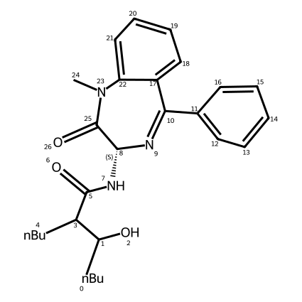 CCCCC(O)C(CCCC)C(=O)N[C@H]1N=C(c2ccccc2)c2ccccc2N(C)C1=O